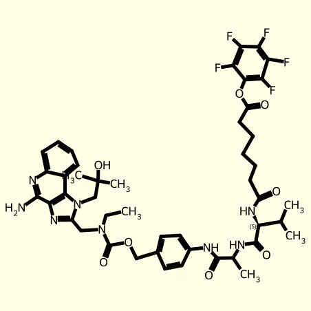 CCN(Cc1nc2c(N)nc3ccccc3c2n1CC(C)(C)O)C(=O)OCc1ccc(NC(=O)C(C)NC(=O)[C@@H](NC(=O)CCCCCC(=O)Oc2c(F)c(F)c(F)c(F)c2F)C(C)C)cc1